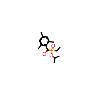 CCP(=O)(OC(C)C)C(=O)c1c(C)cc(C)cc1C